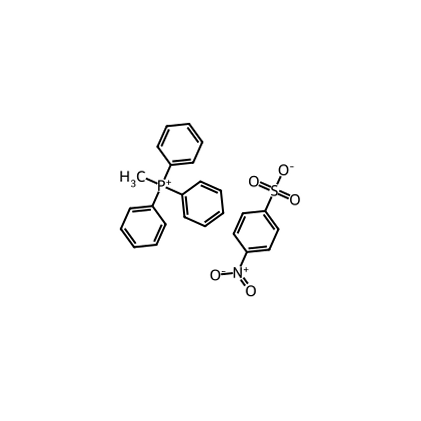 C[P+](c1ccccc1)(c1ccccc1)c1ccccc1.O=[N+]([O-])c1ccc(S(=O)(=O)[O-])cc1